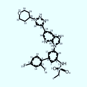 CCS(=O)(=O)Nc1cc(-c2ccc(F)cc2F)cc(-n2cnc3cc(-c4cn(C5CCOCC5)nn4)cnc32)c1